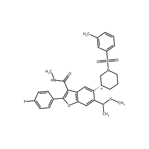 CNC(=O)c1c(-c2ccc(F)cc2)oc2cc(N(C)SC)c([C@H]3CCCN(S(=O)(=O)c4cccc(C)c4)C3)cc12